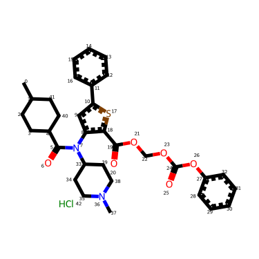 CC1CCC(C(=O)N(c2cc(-c3ccccc3)sc2C(=O)OCOC(=O)Oc2ccccc2)C2CCN(C)CC2)CC1.Cl